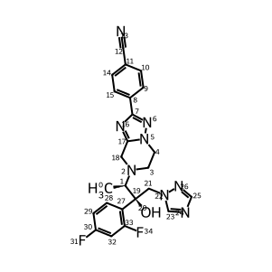 C[C@@H](N1CCn2nc(-c3ccc(C#N)cc3)nc2C1)[C@](O)(Cn1cncn1)c1ccc(F)cc1F